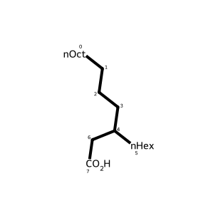 CCCCCCCCCCCC(CCCCCC)CC(=O)O